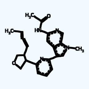 CC=C=CC1COCC1c1cccc(-c2cn(C)c3cnc(NC(C)=O)cc23)n1